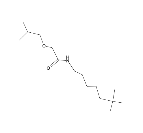 CC(C)COCC(=O)NCCCCCC(C)(C)C